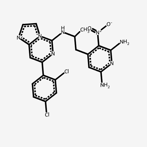 CC(Cc1cc(N)nc(N)c1[N+](=O)[O-])Nc1nc(-c2ccc(Cl)cc2Cl)cc2nccn12